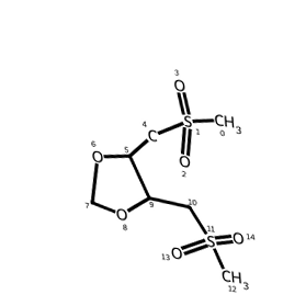 CS(=O)(=O)CC1OCOC1CS(C)(=O)=O